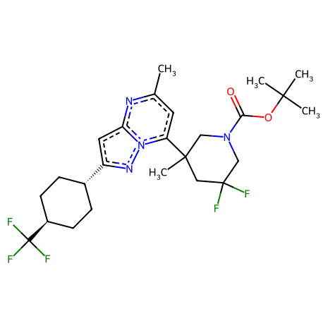 Cc1cc(C2(C)CN(C(=O)OC(C)(C)C)CC(F)(F)C2)n2nc([C@H]3CC[C@H](C(F)(F)F)CC3)cc2n1